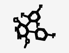 COc1nnc(Cl)c(-c2c(F)cc(F)cc2F)c1-c1ccc(F)cc1